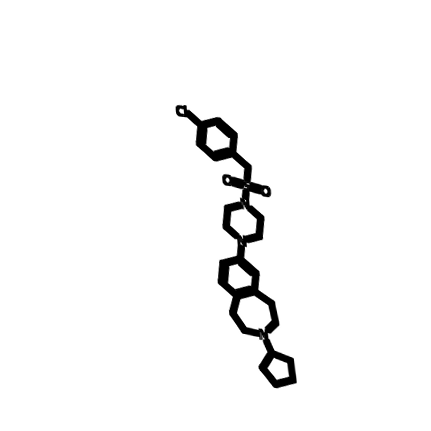 O=S(=O)(Cc1ccc(Cl)cc1)N1CCN(c2ccc3c(c2)CCN(C2CCCC2)CC3)CC1